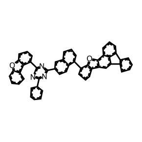 c1ccc(-c2nc(-c3ccc4c(-c5cccc6c5oc5c7cccc8c7c(cc65)-c5ccccc5-8)cccc4c3)nc(-c3cccc4oc5ccccc5c34)n2)cc1